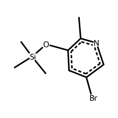 Cc1ncc(Br)cc1O[Si](C)(C)C